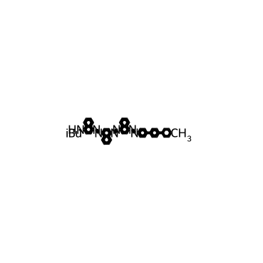 CCC(C)Nc1ccc(N=Nc2ccc(/N=N/c3ccc(N=Nc4ccc(-c5ccc(C6CCC(C)CC6)cc5)cc4)c4ccccc34)c3ccccc23)c2ccccc12